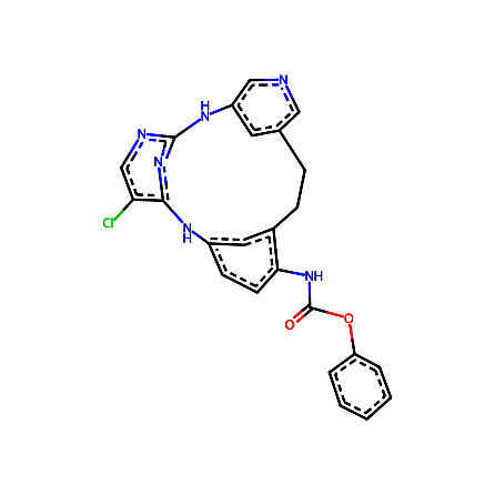 O=C(Nc1ccc2cc1CCc1cncc(c1)Nc1ncc(Cl)c(n1)N2)Oc1ccccc1